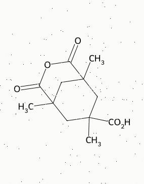 CC1(C(=O)O)CC2(C)CC(C)(C1)C(=O)OC2=O